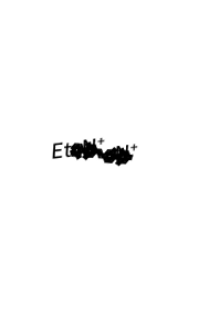 CCc1ccc(-c2c(C)cc(CCc3ccc(-c4c(C)cc(C)c[n+]4C)c(C)c3)c[n+]2C)c(C)c1